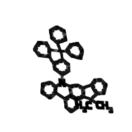 CC1(C)c2ccccc2-c2cc(N(c3ccc4c(c3)-c3ccccc3C4(c3ccccc3)c3ccccc3)c3ccccc3-c3ccccc3)ccc21